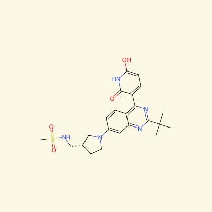 CC(C)(C)c1nc(-c2ccc(O)[nH]c2=O)c2ccc(N3CC[C@H](CNS(C)(=O)=O)C3)cc2n1